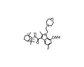 COc1cc(F)cc2c(C(=O)N[C@@H]3C(C)(C)C4CC[C@@]3(C)C4)c(C)n(CCN3CCOCC3)c12